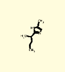 CCCC(C)c1ncc(C)[nH]1